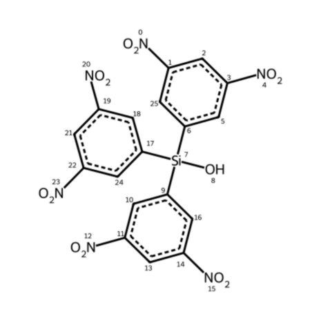 O=[N+]([O-])c1cc([N+](=O)[O-])cc([Si](O)(c2cc([N+](=O)[O-])cc([N+](=O)[O-])c2)c2cc([N+](=O)[O-])cc([N+](=O)[O-])c2)c1